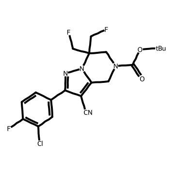 CC(C)(C)OC(=O)N1Cc2c(C#N)c(-c3ccc(F)c(Cl)c3)nn2C(CF)(CF)C1